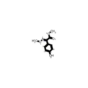 CO/N=C(/C(=O)OC)c1ccc(O)cc1